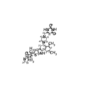 Cc1cc(C)cc(-c2[nH]c3sc(C(C)(C)C(=O)C4C5CCN4CC5)cc3c2CCN2CCN(Cc3cc(=O)[nH]c(=O)[nH]3)CC2)c1